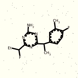 CCC(F)c1nc(N)nc(C(C)c2ccc(F)c(C)c2)n1